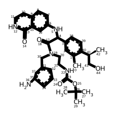 Cc1cc(C(Nc2ccc3cc[nH]c(=O)c3c2)C(=O)N(CCNC(=O)OC(C)(C)C)Cc2cccc(N)c2)ccc1[C@@H](C)CO